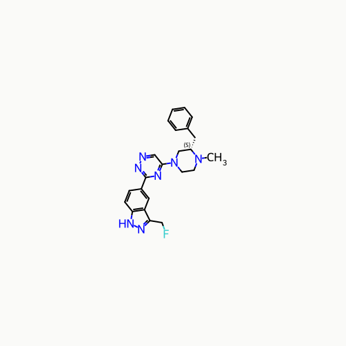 CN1CCN(c2cnnc(-c3ccc4[nH]nc(CF)c4c3)n2)C[C@@H]1Cc1ccccc1